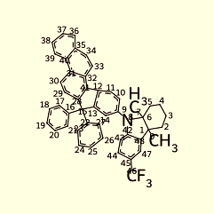 CC12CCCCC1(C)N(c1ccc3c(c1)C(c1ccccc1)(c1ccccc1)c1ccc4c(ccc5ccccc54)c1-3)c1ccc(C(F)(F)F)cc12